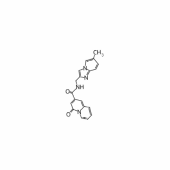 Cc1ccc2nc(CNC(=O)c3cc(=O)n4ccccc4c3)cn2c1